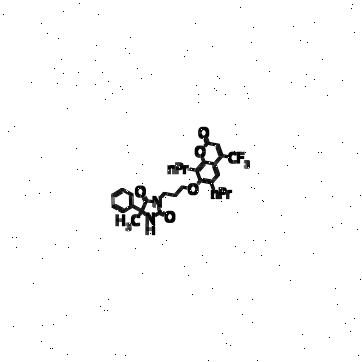 CCCc1cc2c(C(F)(F)F)cc(=O)oc2c(CCC)c1OCCCN1C(=O)NC(C)(c2ccccc2)C1=O